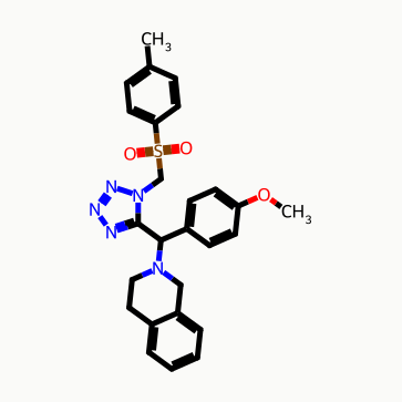 COc1ccc(C(c2nnnn2CS(=O)(=O)c2ccc(C)cc2)N2CCc3ccccc3C2)cc1